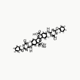 O=S(=O)(O)c1cc(Nc2nc(Cl)nc(Oc3ccccc3)n2)ccc1C=Cc1ccc(Nc2nc(Cl)nc(Oc3ccccc3)n2)cc1S(=O)(=O)O.[Na]